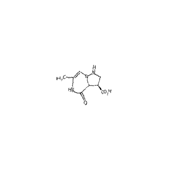 CC1=CN2NC[C@@H](C(=O)O)C2C(=O)N1